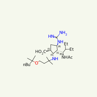 CCCCC(C)(C)OCCC(C)(C)N[C@H]1[C@@H]([C@H](NC(C)=O)C(CC)CC)[C@H](NC(=N)N)C[C@@H]1C(=O)O